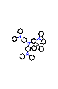 C1=CCCC(N(c2ccccc2)C2C=CC(N(c3ccc(N(c4ccccc4)c4ccccc4)cc3)c3ccc4c(c3)C(c3ccccc3)(c3ccccc3)c3cccc5c6ccccc6n-4c35)=CC2)=C1